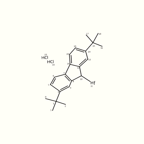 CC(C)(C)c1ccc2c(c1)[CH]([Hf])c1cc(C(C)(C)C)ccc1-2.Cl.Cl